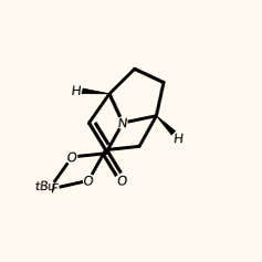 CC(C)(C)OC(=O)N1[C@@H]2CC[C@H]1C=C(OF)C2